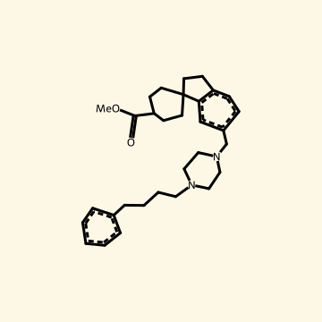 COC(=O)C1CCC2(CCc3ccc(CN4CCN(CCCCc5ccccc5)CC4)cc32)CC1